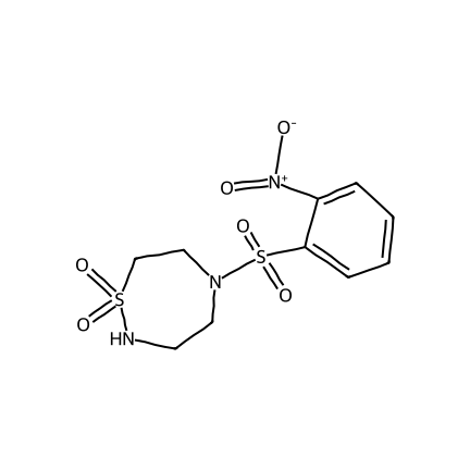 O=[N+]([O-])c1ccccc1S(=O)(=O)N1CCNS(=O)(=O)CC1